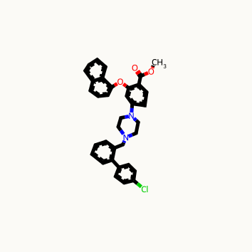 COC(=O)c1ccc(N2CCN(Cc3ccccc3-c3ccc(Cl)cc3)CC2)cc1Oc1cccc2ccccc12